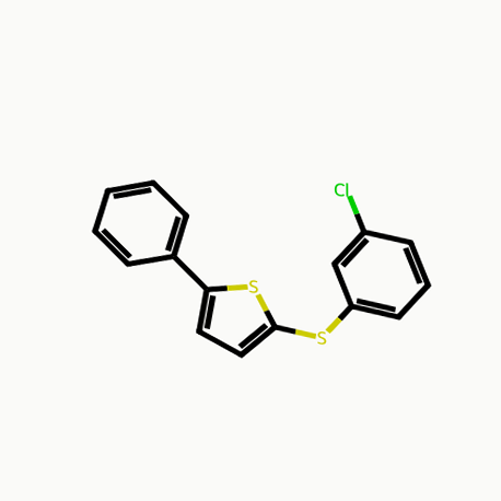 Clc1cccc(Sc2ccc(-c3ccccc3)s2)c1